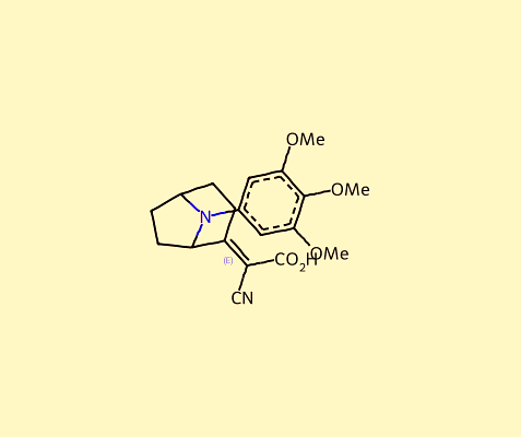 COc1cc(N2C3CC/C(=C(/C#N)C(=O)O)C2CC3)cc(OC)c1OC